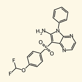 Nc1c(S(=O)(=O)c2ccc(OC(F)F)cc2)c2nccnc2n1-c1ccccc1